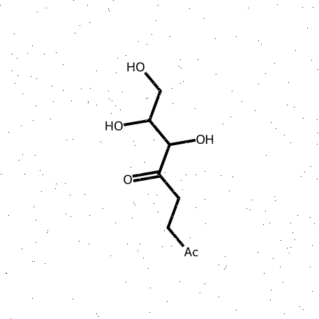 CC(=O)CCC(=O)C(O)C(O)CO